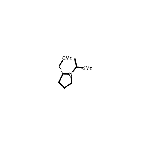 COC[C@H]1CCCN1C(C)SC